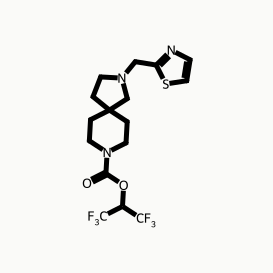 O=C(OC(C(F)(F)F)C(F)(F)F)N1CCC2(CCN(Cc3nccs3)C2)CC1